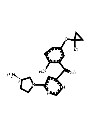 CCC1(Oc2ccc(N)c(C(=N)c3cc(N4CC[C@H](N)C4)ncn3)c2)CC1